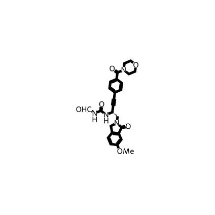 COc1ccc2c(c1)C(=O)N(C[C@@H](C#Cc1ccc(C(=O)N3CCOCC3)cc1)NC(=O)NC=O)C2